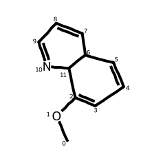 COC1=CC=CC2C=CC=NC12